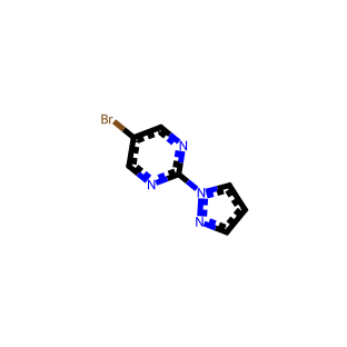 Brc1cnc(-n2cccn2)nc1